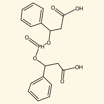 O=C(O)CC(O[PH](=O)OC(CC(=O)O)c1ccccc1)c1ccccc1